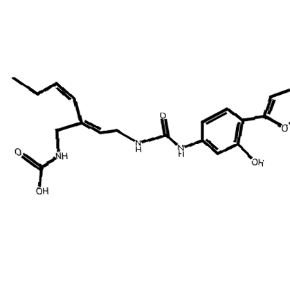 CC/C=C\C(=C/CNC(=O)Nc1ccc(-c2cnco2)c(O)c1)CNC(=O)O